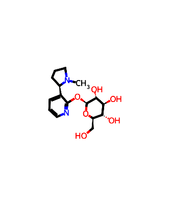 CN1CCC[C@@H]1c1cccnc1O[C@@H]1O[C@H](CO)[C@@H](O)[C@H](O)[C@H]1O